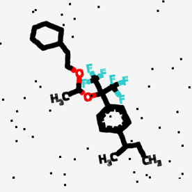 CCC(C)c1ccc(C(OC(C)OCCC2CCCCC2)(C(F)(F)F)C(F)(F)F)cc1